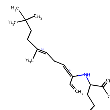 C=C/C(=C\C/C=C(\C)CCC(C)(C)C)NC(CCC)C(=C)C